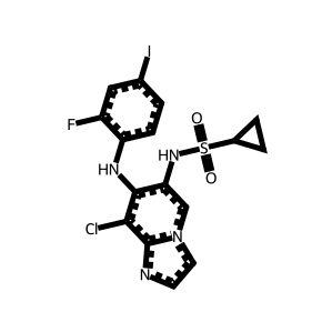 O=S(=O)(Nc1cn2ccnc2c(Cl)c1Nc1ccc(I)cc1F)C1CC1